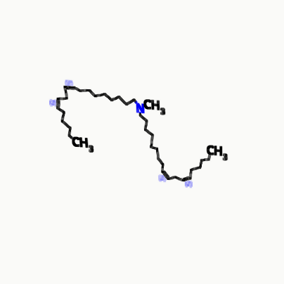 CCCCC/C=C\C/C=C\CCCCCCCCN(C)CCCCCCCC/C=C\C/C=C\CCCCC